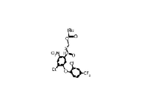 CCc1cc([N+](=O)[O-])c([PH](=O)SCOC(=O)C(C)(C)C)cc1Oc1ccc(C(F)(F)F)cc1Cl